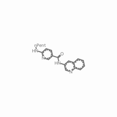 CCCCCNc1ccc(C(=O)Nc2cnc3ccccc3c2)cn1